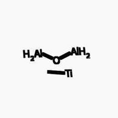 [AlH2][O][AlH2].[CH3][Ti]